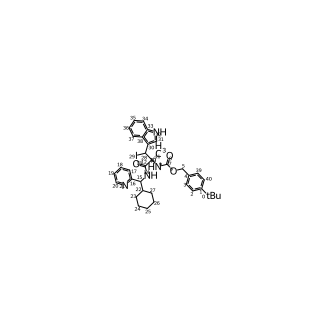 CC(C)(C)c1ccc(COC(=O)N[C@@](C)(C(=O)NC(c2ccccn2)C2CCCCC2)C(I)c2c[nH]c3ccccc23)cc1